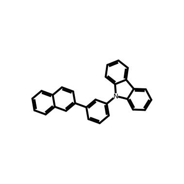 c1cc(-c2ccc3ccccc3c2)cc(-n2c3ccccc3c3ccccc32)c1